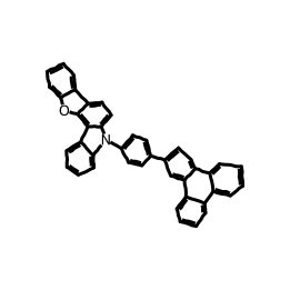 c1ccc2c(c1)oc1c2ccc2c1c1ccccc1n2-c1ccc(-c2ccc3c4ccccc4c4ccccc4c3c2)cc1